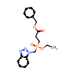 CCOP(=O)(CCC(=O)OCc1ccccc1)Cn1nnc2ccccc21